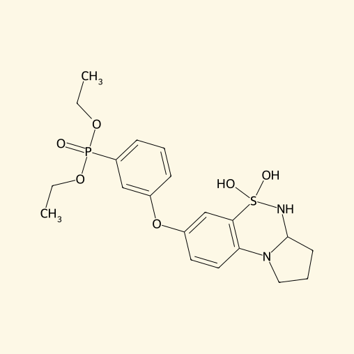 CCOP(=O)(OCC)c1cccc(Oc2ccc3c(c2)S(O)(O)NC2CCCN32)c1